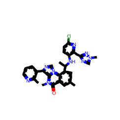 Cc1cc(C(C)Nc2ccc(Cl)nc2-c2ncn(C)n2)c2c(c1)c(=O)n(C)c1c(-c3cccnc3C)ncn21